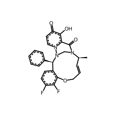 C[C@H]1/C=C/COc2c(ccc(F)c2F)[C@@H](c2ccccc2)N2CN1C(=O)c1c(O)c(=O)ccn12